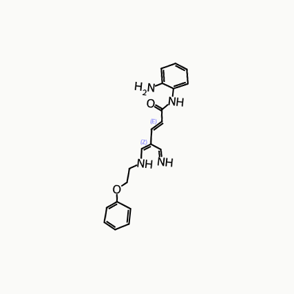 N=CC(=C\NCCOc1ccccc1)/C=C/C(=O)Nc1ccccc1N